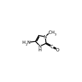 CN1C=C(N)NC1=C=O